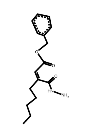 CCCCCC(=CC(=O)OCc1ccccc1)C(=O)NN